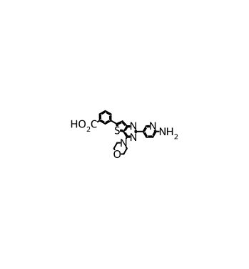 Nc1ccc(-c2nc(N3CCOCC3)c3sc(-c4cccc(C(=O)O)c4)cc3n2)cn1